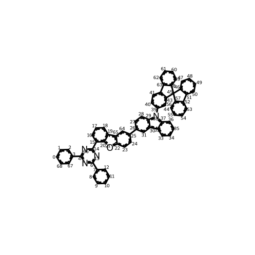 c1ccc(-c2nc(-c3ccccc3)nc(-c3cccc4c3oc3ccc(-c5ccc6c(c5)c5ccccc5n6-c5ccc6c(c5)C5(c7ccccc7-c7ccccc75)c5ccccc5-6)cc34)n2)cc1